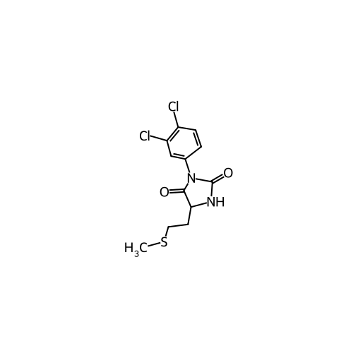 CSCCC1NC(=O)N(c2ccc(Cl)c(Cl)c2)C1=O